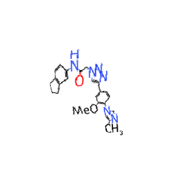 COc1cc(-c2cn(CC(=O)Nc3ccc4c(c3)CCC4)nn2)ccc1-n1cnc(C)c1